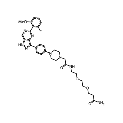 COc1cccc(F)c1-c1ncc2[nH]nc(-c3ccc(N4CCN(CC(=O)NCCOCCOCCC(N)=O)CC4)cc3)c2n1